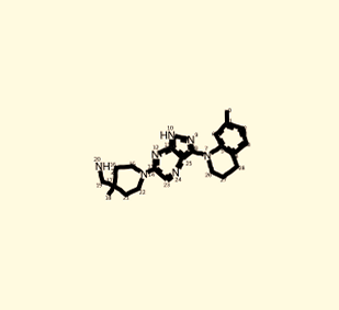 Cc1ccc2c(c1)N(c1n[nH]c3nc(N4CCC(C)(CN)CC4)cnc13)CCC2